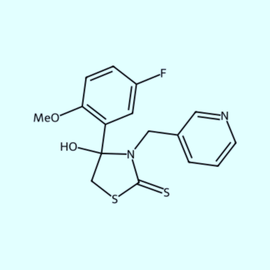 COc1ccc(F)cc1C1(O)CSC(=S)N1Cc1cccnc1